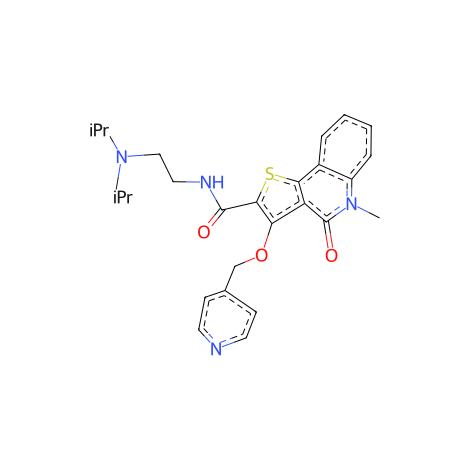 CC(C)N(CCNC(=O)c1sc2c(c1OCc1ccncc1)c(=O)n(C)c1ccccc21)C(C)C